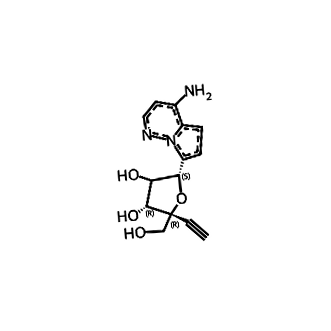 C#C[C@]1(CO)O[C@@H](c2ccc3c(N)ccnn23)C(O)[C@H]1O